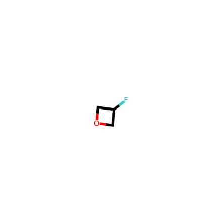 FC1COC1